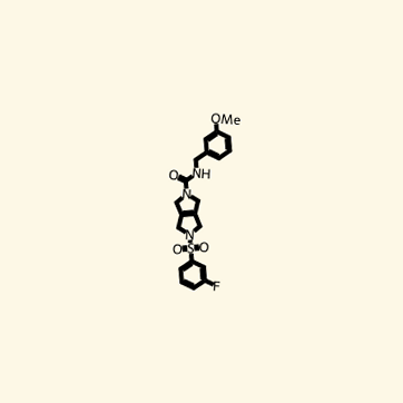 COc1cccc(CNC(=O)N2CC3=C(C2)CN(S(=O)(=O)c2cccc(F)c2)C3)c1